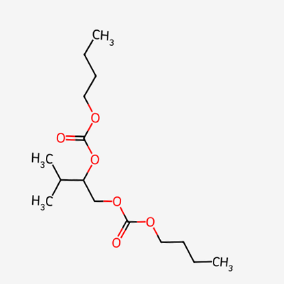 CCCCOC(=O)OCC(OC(=O)OCCCC)C(C)C